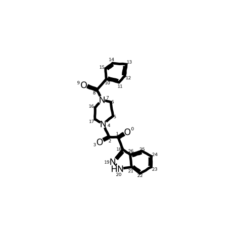 O=C(C(=O)N1CCN(C(=O)c2ccccc2)CC1)c1n[nH]c2ccccc12